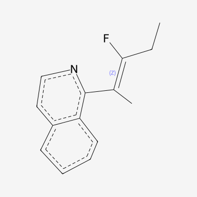 CC/C(F)=C(\C)c1nccc2ccccc12